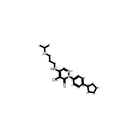 CC(C)OCCCNc1cnn(-c2ccc(C3CCCC3)cc2)c(=O)c1Cl